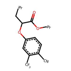 CC(C)CC(Oc1ccc(C#N)c(C(F)(F)F)c1)C(=O)OC(C)C